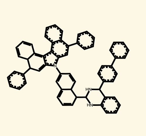 C1=CC2=c3c(n(C4=CC5=CC=CC(C6Nc7ccccc7C(c7ccc(-c8ccccc8)cc7)N6)C5C=C4)c4cc(-c5ccccc5)c5ccccc5c34)=CC(c3ccccc3)C2C=C1